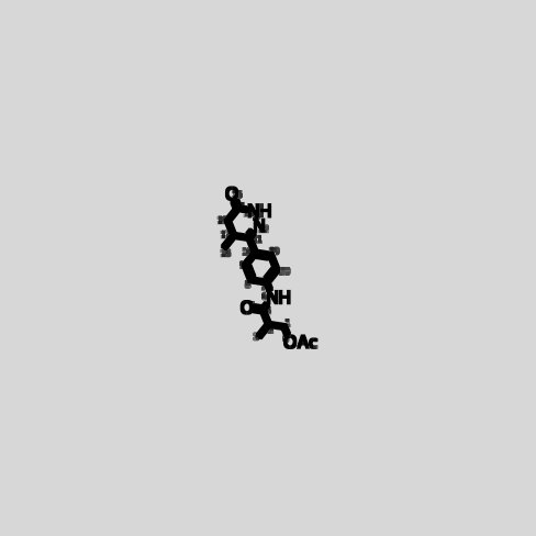 CC(=O)OCC(C)C(=O)Nc1ccc(C2=NNC(=O)CC2C)cc1